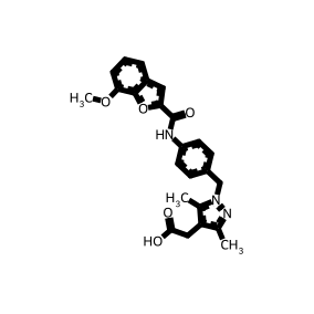 COc1cccc2cc(C(=O)Nc3ccc(Cn4nc(C)c(CC(=O)O)c4C)cc3)oc12